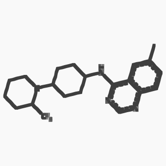 Cc1ccc2ncnc(NC3CCC(N4CCCCC4C(F)(F)F)CC3)c2c1